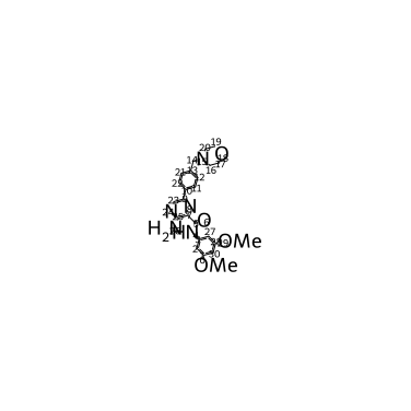 COc1cc(NC(=O)c2nc(-c3ccc(CN4CCOCC4)cc3)cnc2N)cc(OC)c1